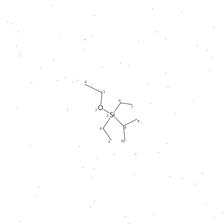 C[CH]O[Si](CC)(CC)C(C)C